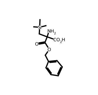 C[Si](C)(C)CC(N)(C(=O)O)C(=O)OCc1ccccc1